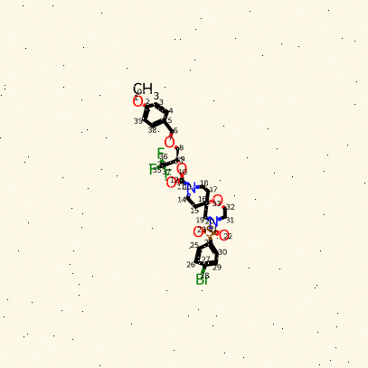 COc1ccc(COC[C@@H](OC(=O)N2CCC3(CC2)CN(S(=O)(=O)c2ccc(Br)cc2)CCO3)C(F)(F)F)cc1